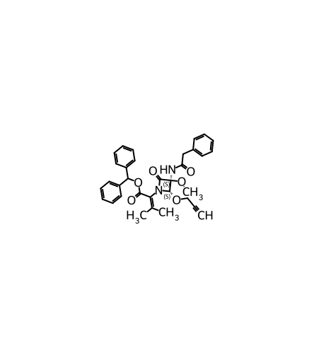 C#CCO[C@@H]1N(C(C(=O)OC(c2ccccc2)c2ccccc2)=C(C)C)C(=O)[C@@]1(NC(=O)Cc1ccccc1)OC